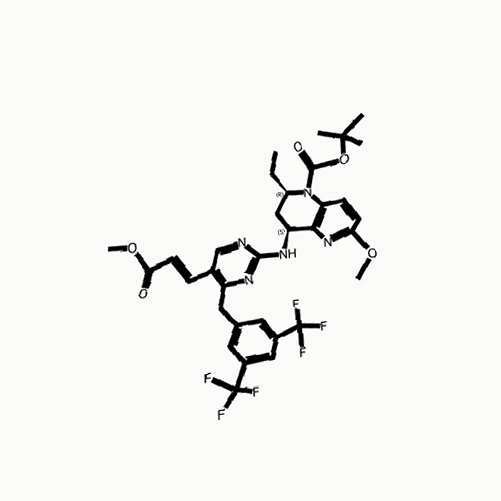 CC[C@@H]1C[C@H](Nc2ncc(C=CC(=O)OC)c(Cc3cc(C(F)(F)F)cc(C(F)(F)F)c3)n2)c2nc(OC)ccc2N1C(=O)OC(C)(C)C